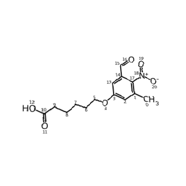 Cc1cc(OCCCCCC(=O)O)cc(C=O)c1[N+](=O)[O-]